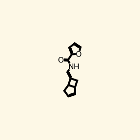 O=C(N/C=C1\CC2C=CCC12)c1ccco1